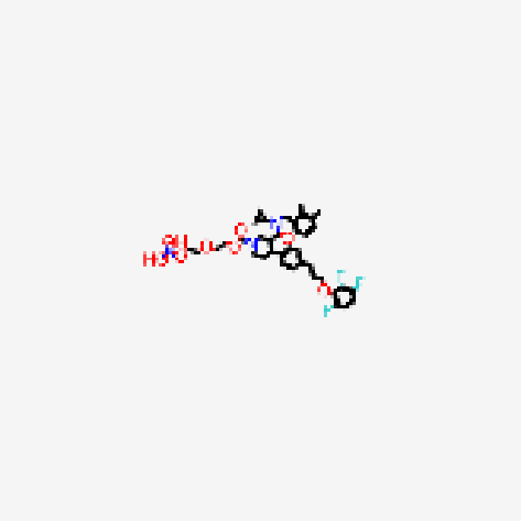 Cc1cccc(CN(C(=O)C2CN(C(=O)OCCOCCON(O)O)CCC2c2ccc(CCCOc3c(F)ccc(F)c3F)cc2)C2CC2)c1C